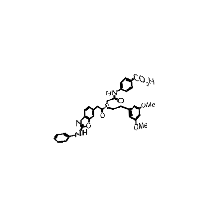 COc1cc(CCN(CC(=O)Nc2ccc(C(=O)O)cc2)C(=O)Cc2ccc3nc(Nc4ccccc4)oc3c2)cc(OC)c1